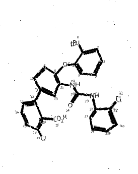 CC(C)(C)c1ccccc1Oc1ccc(-c2cccc(Cl)c2C(=O)O)cc1NC(=O)Nc1ccccc1Cl